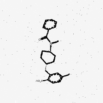 Cc1ccc(S(=O)(=O)O)c(C[C@H]2CC[C@H](N(C)C(=O)c3ccccc3)CC2)c1